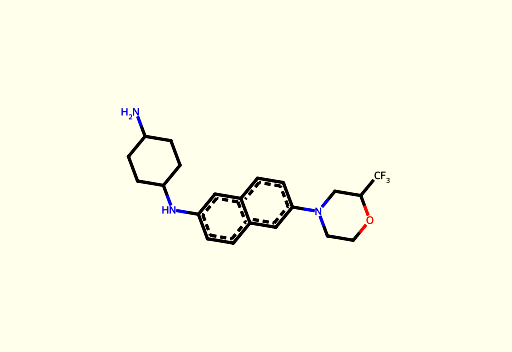 NC1CCC(Nc2ccc3cc(N4CCOC(C(F)(F)F)C4)ccc3c2)CC1